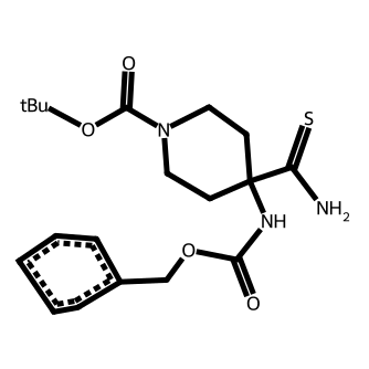 CC(C)(C)OC(=O)N1CCC(NC(=O)OCc2ccccc2)(C(N)=S)CC1